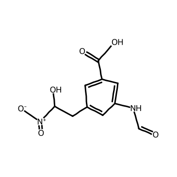 O=CNc1cc(CC(O)[N+](=O)[O-])cc(C(=O)O)c1